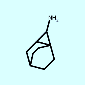 NC1C2CC3CCC12CC3